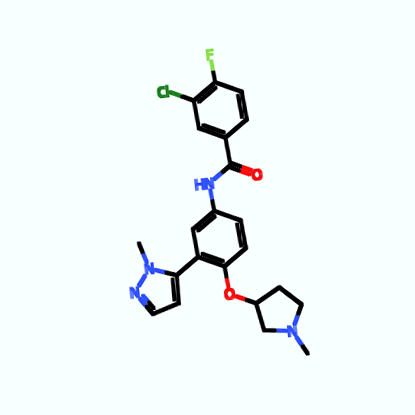 CN1CCC(Oc2ccc(NC(=O)c3ccc(F)c(Cl)c3)cc2-c2ccnn2C)C1